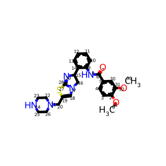 COc1ccc(C(=O)Nc2ccccc2C2CN3C=C(CN4CCNCC4)SC3=N2)cc1OC